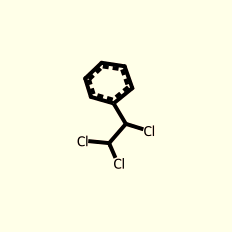 Cl[C](Cl)C(Cl)c1ccccc1